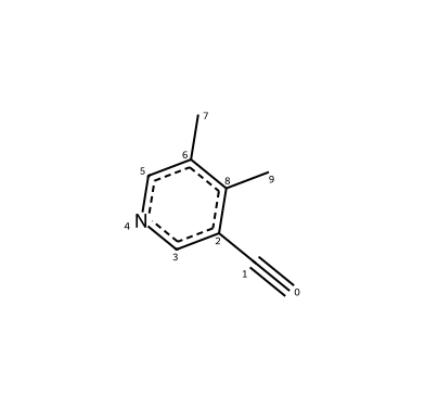 C#Cc1cncc(C)c1C